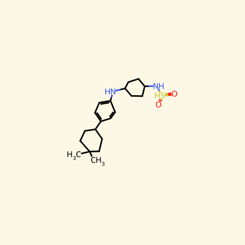 CC1(C)CCC(c2ccc(NC3CCC(N[SH](=O)=O)CC3)cc2)CC1